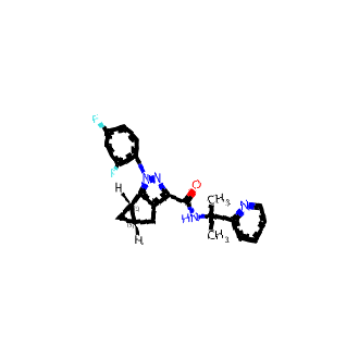 CC(C)(NC(=O)c1nn(-c2ccc(F)cc2F)c2c1C[C@@H]1C[C@H]21)c1ccccn1